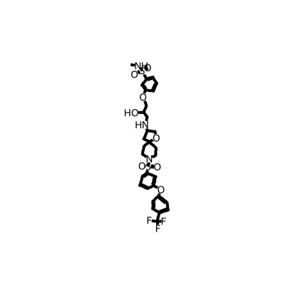 CNS(=O)(=O)c1cccc(OCC(O)CNC2COC3(CCN(S(=O)(=O)c4cccc(Oc5ccc(C(F)(F)F)cc5)c4)CC3)C2)c1